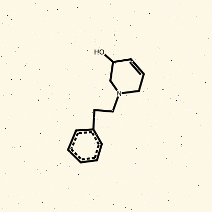 OC1C=CCN(CCc2ccccc2)C1